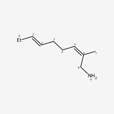 CCC=CCCC=C(C)CN